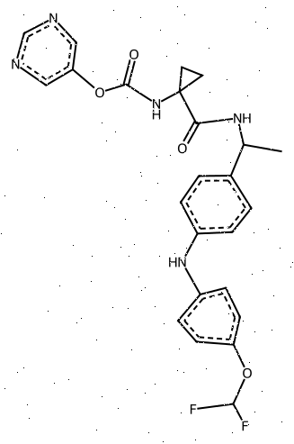 CC(NC(=O)C1(NC(=O)Oc2cncnc2)CC1)c1ccc(Nc2ccc(OC(F)F)cc2)cc1